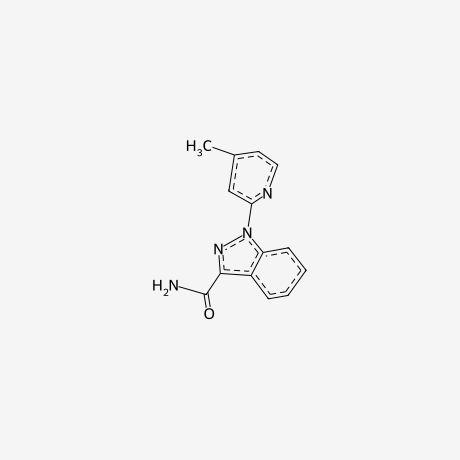 Cc1ccnc(-n2nc(C(N)=O)c3ccccc32)c1